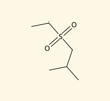 C[CH]S(=O)(=O)CC(C)C